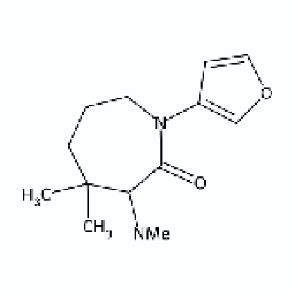 CNC1C(=O)N(c2ccoc2)CCCC1(C)C